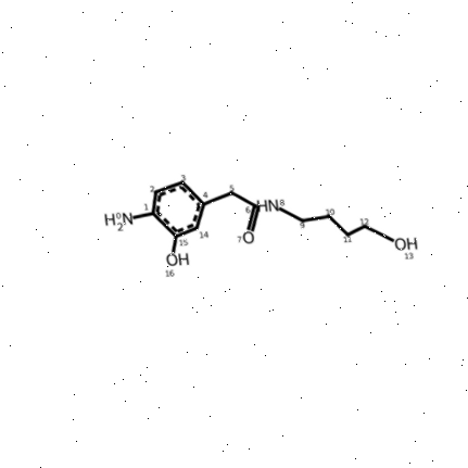 Nc1ccc(CC(=O)NCCCCO)cc1O